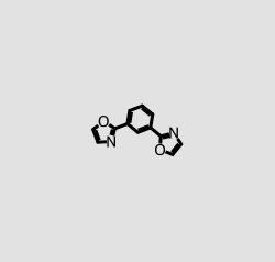 c1cc(-c2ncco2)cc(-c2ncco2)c1